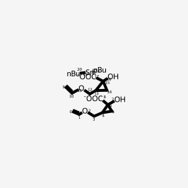 C=COCC1CC1(O)C(=O)[O-].C=COCC1CC1(O)C(=O)[O-].CCC[CH2][Sn+2][CH2]CCC